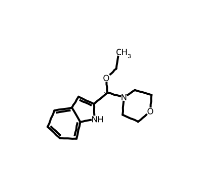 CCO[C](c1cc2ccccc2[nH]1)N1CCOCC1